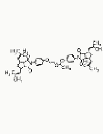 CC(C)=CC1CC(C=C(C)C)C2C(=O)N(c3ccc(OCCOC(C)Oc4ccc(N5C(=O)C6C(C=C(C)C)CC(C=C(C)C)C6C5=O)cc4)cc3)C(=O)C12